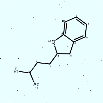 CCC(CCC1Cc2ccccc2O1)C(C)=O